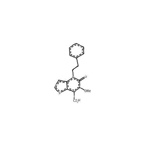 COc1c(C(=O)O)c2sccc2n(CCc2ccccc2)c1=O